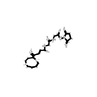 O=C(CCC(=O)C1CCCCCCCC1)NCC(=O)NCC(=O)ON1C(=O)CCC1=O